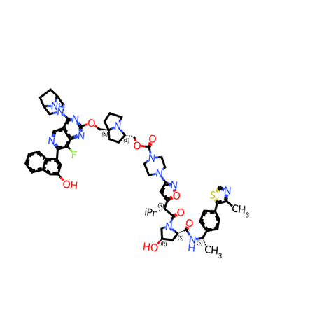 Cc1ncsc1-c1ccc([C@H](C)NC(=O)[C@@H]2C[C@@H](O)CN2C(=O)[C@@H](c2cc(N3CCN(C(=O)OC[C@@H]4CC[C@]5(COc6nc(N7CC8CCC(C7)N8)c7cnc(-c8cc(O)cc9ccccc89)c(F)c7n6)CCCN45)CC3)no2)C(C)C)cc1